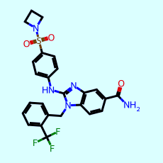 NC(=O)c1ccc2c(c1)nc(Nc1ccc(S(=O)(=O)N3CCC3)cc1)n2Cc1ccccc1C(F)(F)F